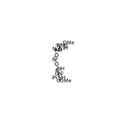 COC(=O)N[C@H](C(=O)N1CCC[C@H]1c1ncc(-c2ccc(-c3cc4ccc(-c5cnc([C@@H]6CCCN6C(=O)[C@@H](NC(=O)OC)C(C)C)[nH]5)cc4cn3)cc2)[nH]1)C(C)C